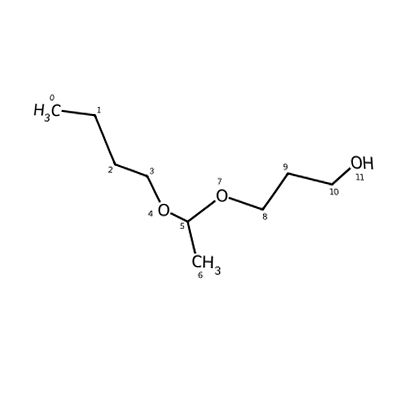 CCCCOC(C)OCCCO